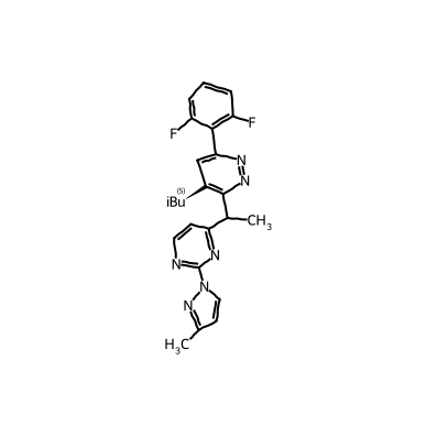 CC[C@H](C)c1cc(-c2c(F)cccc2F)nnc1C(C)c1ccnc(-n2ccc(C)n2)n1